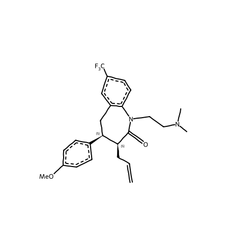 C=CC[C@@H]1C(=O)N(CCN(C)C)c2ccc(C(F)(F)F)cc2C[C@@H]1c1ccc(OC)cc1